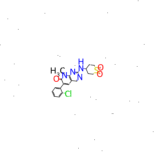 Cn1c(=O)c(-c2ccccc2Cl)cc2cnc(NC3CCS(=O)(=O)CC3)nc21